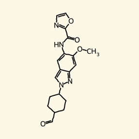 COc1cc2nn(C3CCC(C=O)CC3)cc2cc1NC(=O)c1ncco1